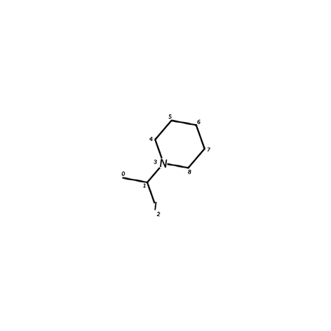 CC(I)N1CCCCC1